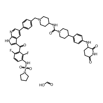 O=C1CCC(Nc2ccc(C3CCN(C(=O)NC4CCN(Cc5ccc(-c6cnc7[nH]cc(C(=O)c8c(F)ccc(NS(=O)(=O)N9CCCC9)c8F)c7c6)cc5)CC4)CC3)cc2)C(=O)N1.O=CO